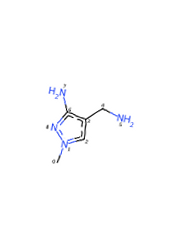 Cn1cc(CN)c(N)n1